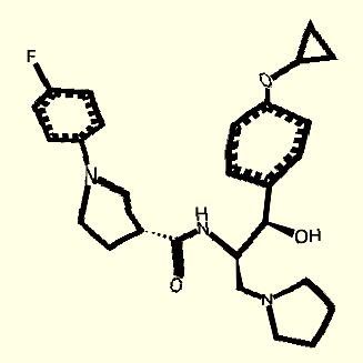 O=C(N[C@H](CN1CCCC1)[C@H](O)c1ccc(OC2CC2)cc1)[C@@H]1CCN(c2ccc(F)cc2)C1